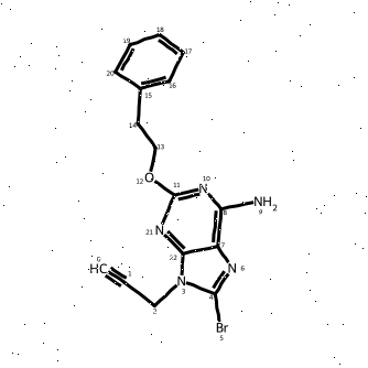 C#CCn1c(Br)nc2c(N)nc(OCCc3ccccc3)nc21